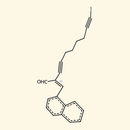 O=C/C(C#CCCCCC#CI)=C\c1cccc2ccccc12